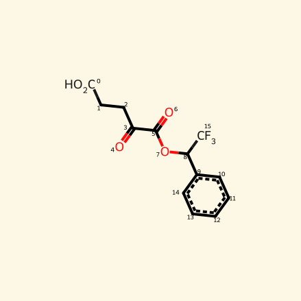 O=C(O)CCC(=O)C(=O)OC(c1ccccc1)C(F)(F)F